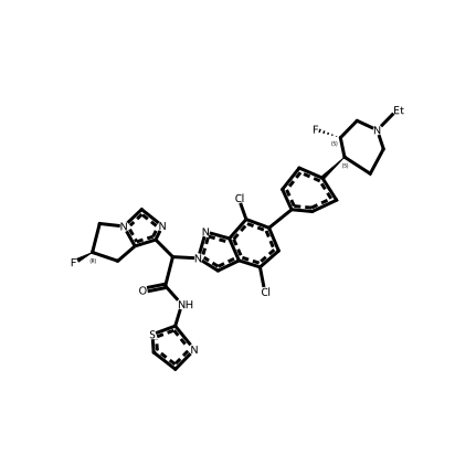 CCN1CC[C@@H](c2ccc(-c3cc(Cl)c4cn(C(C(=O)Nc5nccs5)c5ncn6c5C[C@@H](F)C6)nc4c3Cl)cc2)[C@H](F)C1